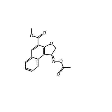 COC(=O)c1cc2ccccc2c2c1OC/C2=N\OC(C)=O